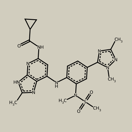 Cc1nc(-c2ccc(Nc3cc(NC(=O)C4CC4)nc4[nH]c(C)nc34)c(N(C)S(C)(=O)=O)c2)n(C)n1